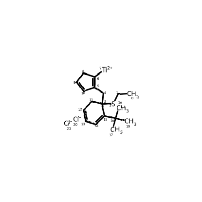 CCSC1(CC2=[C]([Ti+2])CC=C2)CC=CC=C1C(C)(C)C.[Cl-].[Cl-]